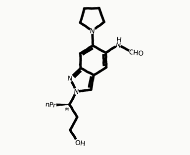 CCC[C@H](CCO)n1cc2cc(NC=O)c(N3CCCC3)cc2n1